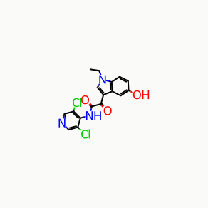 CCn1cc(C(=O)C(=O)Nc2c(Cl)cncc2Cl)c2cc(O)ccc21